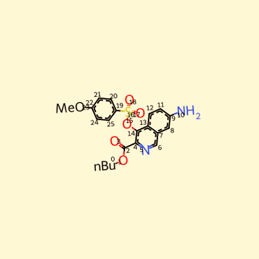 CCCCOC(=O)c1ncc2cc(N)ccc2c1OS(=O)(=O)c1ccc(OC)cc1